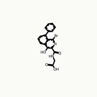 O=C(O)CNC(=O)c1nc(Br)c2c(-c3ccccc3)cccc2c1O